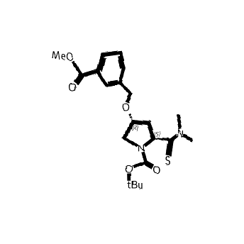 COC(=O)c1cccc(CO[C@@H]2C[C@@H](C(=S)N(C)C)N(C(=O)OC(C)(C)C)C2)c1